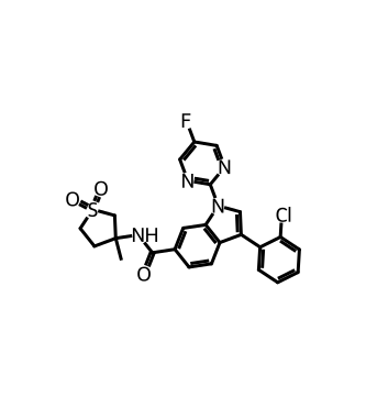 CC1(NC(=O)c2ccc3c(-c4ccccc4Cl)cn(-c4ncc(F)cn4)c3c2)CCS(=O)(=O)C1